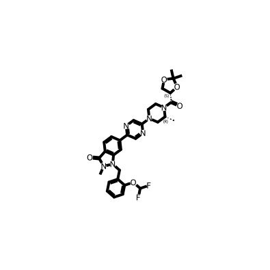 C[C@@H]1CN(c2cnc(-c3ccc4c(=O)n(C)n(Cc5ccccc5OC(F)F)c4c3)cn2)CCN1C(=O)[C@@H]1COC(C)(C)O1